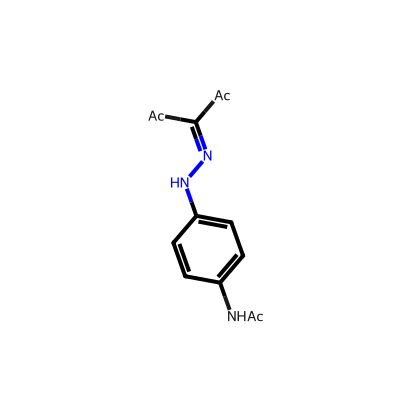 CC(=O)Nc1ccc(NN=C(C(C)=O)C(C)=O)cc1